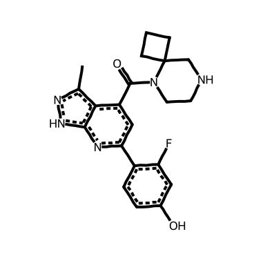 Cc1n[nH]c2nc(-c3ccc(O)cc3F)cc(C(=O)N3CCNCC34CCC4)c12